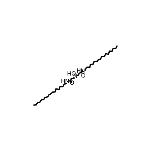 CCCCCCCCCCCCCCCCCCNC(=O)CCN(O)CCC(=O)NCCCCCCCCCCCCCCCCCC